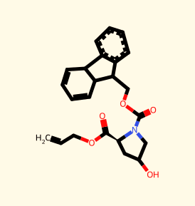 C=CCOC(=O)[C@@H]1CC(O)CN1C(=O)OCC1c2ccccc2C2C=CC=CC21